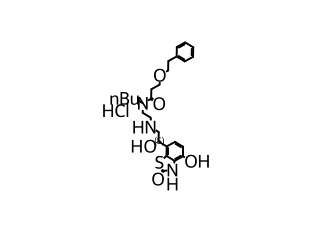 CCCCN(CCNC[C@@H](O)c1ccc(O)c2[nH]c(=O)sc12)C(=O)CCOCCc1ccccc1.Cl